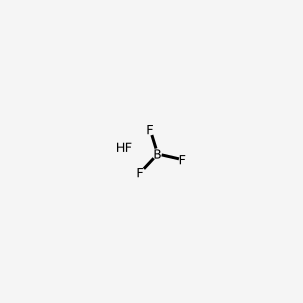 F.FB(F)F